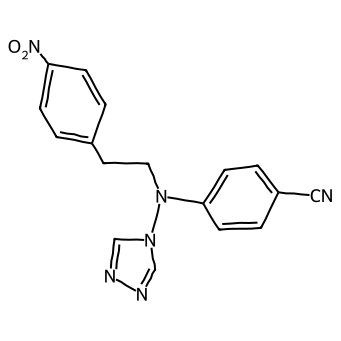 N#Cc1ccc(N(CCc2ccc([N+](=O)[O-])cc2)n2cnnc2)cc1